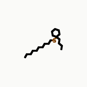 CCCCCCCCCCSC1(CCCC)CCCCC1